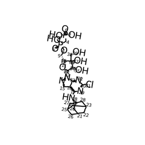 O=P(O)(O)CP(=O)(O)OC[C@H]1O[C@@H](n2ncc3c(NC45CC6CC(CC(C6)C4)C5)nc(Cl)nc32)[C@H](O)[C@@]1(O)CO